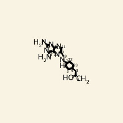 C=C(O)Cc1ccc(NCc2cnc3nc(N)nc(N)c3n2)cc1